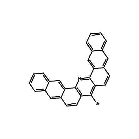 Brc1c2ccc3cc4ccccc4cc3c2nc2c1ccc1cc3ccccc3cc12